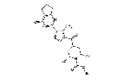 CCC1CN(C(=O)c2cnn(-c3nc4c(c(=O)[nH]3)CCC4)c2C)CC(CC)N1C(=O)OC(C)(C)C